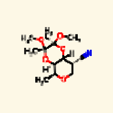 CO[C@@]1(C)O[C@H]2[C@H](O[C@]1(C)OC)[C@H](C)OC[C@H]2C#N